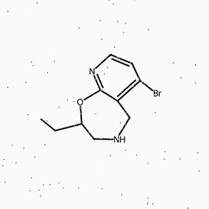 CCC1CNCc2c(Br)ccnc2O1